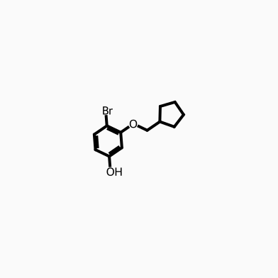 Oc1ccc(Br)c(OCC2CCCC2)c1